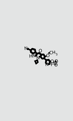 CCOc1cc2c(=O)c3c4ccc(C#N)cc4[nH]c3n(C3CCC3)c2cc1-c1cncc(OS(=O)(=O)F)c1